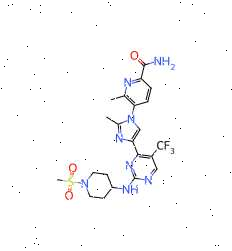 Cc1nc(C(N)=O)ccc1-n1cc(-c2nc(NC3CCN(S(C)(=O)=O)CC3)ncc2C(F)(F)F)nc1C